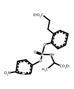 CCOC(=O)CCc1ccccc1OP(=O)(NC(C)C(=O)OCC)Oc1ccc([N+](=O)[O-])cc1